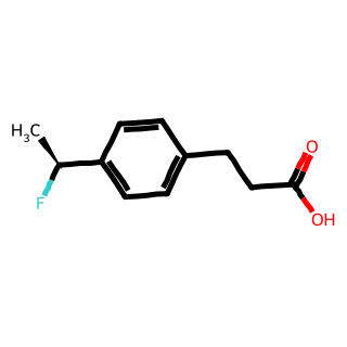 C[C@H](F)c1ccc(CCC(=O)O)cc1